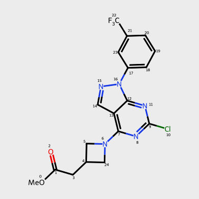 COC(=O)CC1CN(c2nc(Cl)nc3c2cnn3-c2cccc(C(F)(F)F)c2)C1